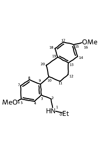 CCNCc1cc(OC)ccc1C1CCc2cc(OC)ccc2C1